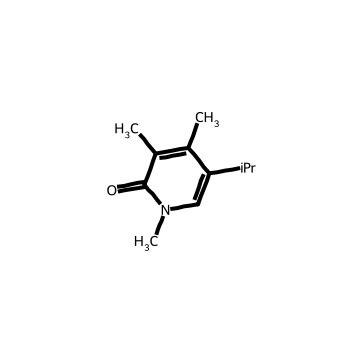 Cc1c(C(C)C)cn(C)c(=O)c1C